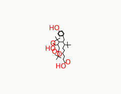 CC(C)(C)OC(=O)CC(C(=O)O)C(C(Cc1ccc(O)cc1)C(CCCCCC(=O)O)C(C)(C)C)C(C)(C)C